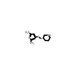 Cc1cc(OC[C@H]2CCCNC2)cc(C)n1